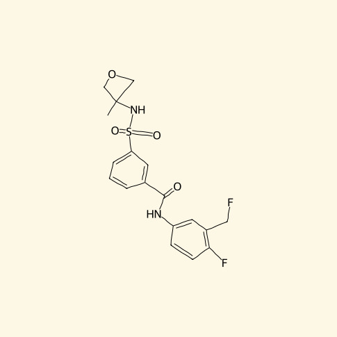 CC1(NS(=O)(=O)c2cccc(C(=O)Nc3ccc(F)c(CF)c3)c2)COC1